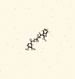 COc1ccc(C(=O)NCC(=O)N/N=C(\C)c2c(OC)sc3ccccc23)cc1OC